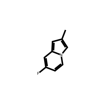 Cc1cc2cc(F)ccn2c1